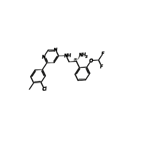 Cc1ccc(-c2cc(NC[C@H](N)c3ccccc3OC(F)F)ncn2)cc1Cl